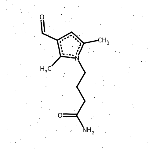 Cc1cc(C=O)c(C)n1CCCC(N)=O